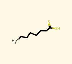 CCCCCCCC(=S)S